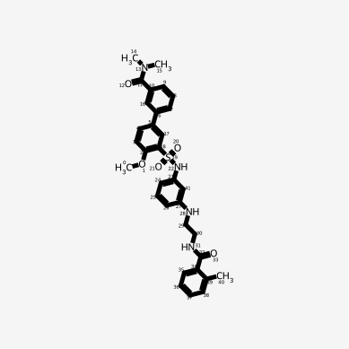 COc1ccc(-c2cccc(C(=O)N(C)C)c2)cc1S(=O)(=O)Nc1cccc(NCCNC(=O)c2ccccc2C)c1